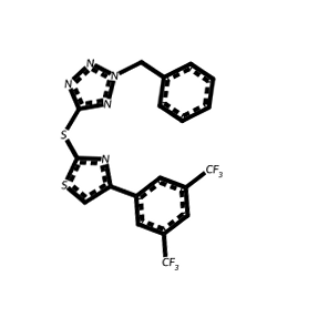 FC(F)(F)c1cc(-c2csc(Sc3nnn(Cc4ccccc4)n3)n2)cc(C(F)(F)F)c1